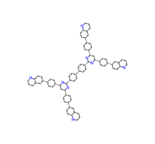 c1cnc2ccc(-c3ccc(-c4cc(-c5ccc(-c6ccc7ncccc7c6)cc5)nc(-c5ccc(-c6ccc(-c7nc(-c8ccc(-c9ccc%10ncccc%10c9)cc8)cc(-c8ccc(-c9ccc%10ncccc%10c9)cc8)n7)cc6)cc5)n4)cc3)cc2c1